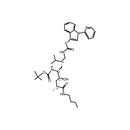 CCCCNC(=O)[C@H](C)C[C@H](O)[C@H](C[C@@H](CNC(=O)Oc1cn(-c2ccccn2)c2ccccc12)C(C)C)NC(=O)OC(C)(C)C